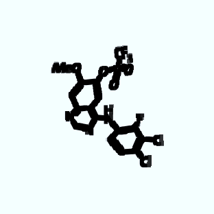 COc1cc2ncnc(Nc3ccc(Cl)c(Cl)c3F)c2cc1OS(=O)(=O)C(F)(F)F